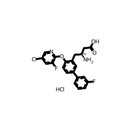 Cl.N[C@H](CC(=O)O)Cc1cc(-c2cccc(F)c2)ccc1Oc1ncc(Cl)cc1F